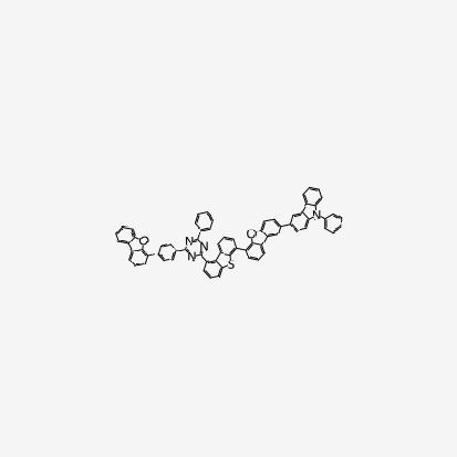 c1ccc(-c2nc(-c3ccc(-c4cccc5c4oc4ccccc45)cc3)nc(-c3cccc4sc5c(-c6cccc7c6oc6ccc(-c8ccc9c(c8)c8ccccc8n9-c8ccccc8)cc67)cccc5c34)n2)cc1